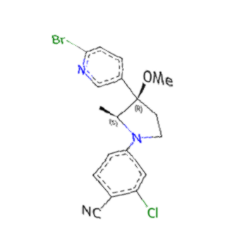 CO[C@@]1(c2ccc(Br)nc2)CCN(c2ccc(C#N)c(Cl)c2)[C@H]1C